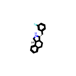 Fc1cccc(C[C@H]2NC[C@@H]3c4ccccc4CCC32)c1